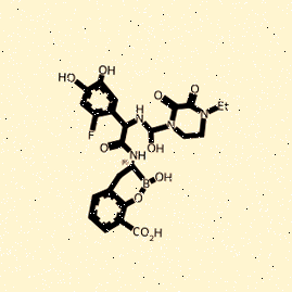 CCN1CCN(C(O)NC(C(=O)N[C@H]2Cc3cccc(C(=O)O)c3OB2O)c2cc(O)c(O)cc2F)C(=O)C1=O